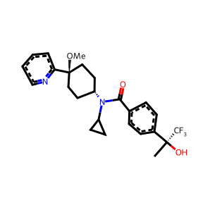 CO[C@]1(c2ccccn2)CC[C@@H](N(C(=O)c2ccc([C@](C)(O)C(F)(F)F)cc2)C2CC2)CC1